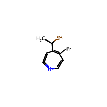 CC(C)C1=C(C(C)S)C=C=NC=C1